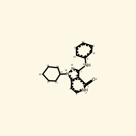 O=c1[nH]ccc2c1c(Nc1ccccc1)nn2C1CCCCC1